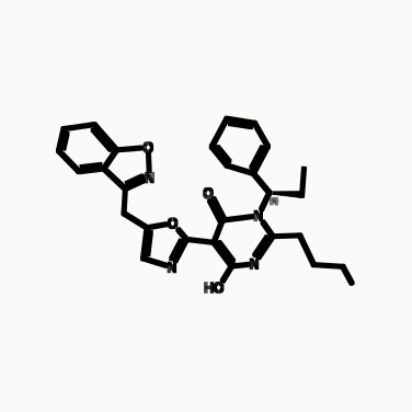 CCCCc1nc(O)c(-c2ncc(Cc3noc4ccccc34)o2)c(=O)n1[C@H](CC)c1ccccc1